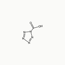 O=C(O)n1nnnn1